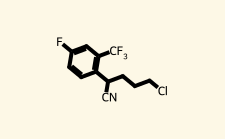 N#CC(CCCCl)c1ccc(F)cc1C(F)(F)F